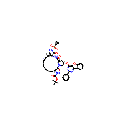 CC(C)(C)OC(=O)N[C@H]1CCCCC/C=C\[C@@H]2C[C@@]2(C(=O)NS(=O)(=O)C2CC2)NC(=O)[C@@H]2C[C@@H](Oc3nc(-c4ccccc4)nc4c3oc3ccccc34)CN2C1=O